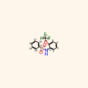 O=S(=O)(Nc1cc[c]cc1OC(F)(F)F)c1ccccc1